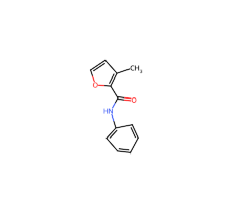 Cc1ccoc1C(=O)Nc1cc[c]cc1